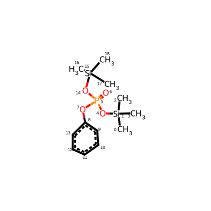 C[Si](C)(C)OP(=O)(Oc1ccccc1)O[Si](C)(C)C